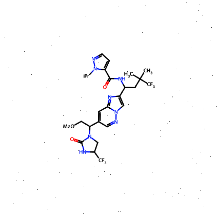 COCC(c1cnn2cc(C(CC(C)(C)C(F)(F)F)NC(=O)c3ccnn3C(C)C)nc2c1)N1CC(C(F)(F)F)NC1=O